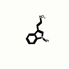 CC(C)n1cc(C=C[N+](=O)[O-])c2ccccc21